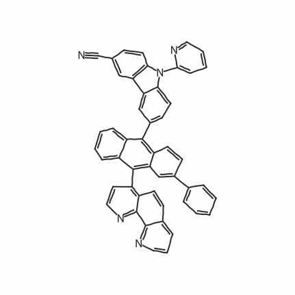 N#Cc1ccc2c(c1)c1cc(-c3c4ccccc4c(-c4ccnc5c4ccc4cccnc45)c4cc(-c5ccccc5)ccc34)ccc1n2-c1ccccn1